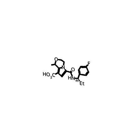 CC[C@@H](NC(=O)c1cc(C(=O)O)c2n1CCOC2C)c1ccc(F)cc1